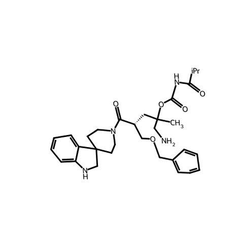 CC(C)C(=O)NC(=O)OC(C)(CN)C[C@H](COCc1ccccc1)C(=O)N1CCC2(CC1)CNc1ccccc12